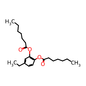 CCCCCCC(=O)Oc1ccc(CC)cc1OC(=O)CCCCCC